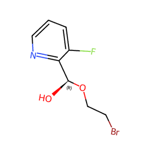 O[C@H](OCCBr)c1ncccc1F